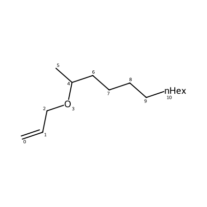 C=CCOC(C)CCCCCCCCCC